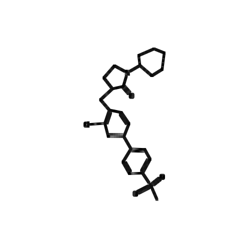 CS(=O)(=O)c1ccc(-c2ccc(CC3CCN(C4CCCCC4)C3=O)c(Cl)c2)cc1